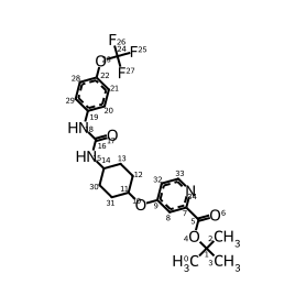 CC(C)(C)OC(=O)c1cc(OC2CCC(NC(=O)Nc3ccc(OC(F)(F)F)cc3)CC2)ccn1